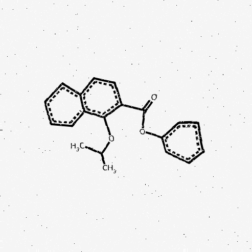 CC(C)Oc1c(C(=O)Oc2ccccc2)ccc2ccccc12